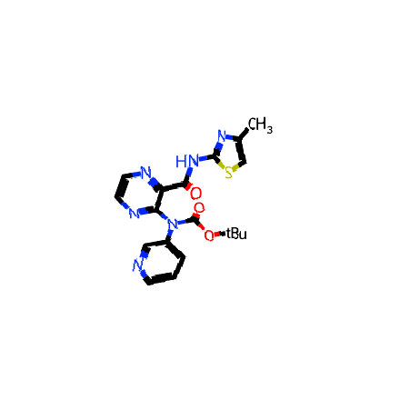 Cc1csc(NC(=O)c2nccnc2N(C(=O)OC(C)(C)C)c2cccnc2)n1